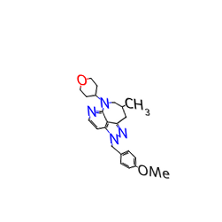 COc1ccc(Cn2nc3c4c(nccc42)N(C2CCOCC2)CC(C)C3)cc1